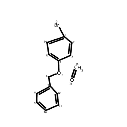 Brc1ccc(OCc2ccccc2)cc1.C=O